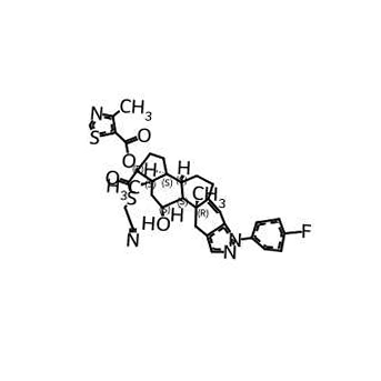 Cc1ncsc1C(=O)O[C@]1(C(=O)SCC#N)CC[C@H]2[C@@H]3CCC4=Cc5c(cnn5-c5ccc(F)cc5)C[C@]4(C)[C@H]3[C@@H](O)C[C@@]21C